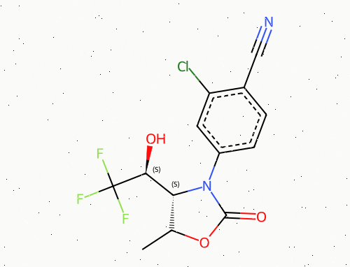 CC1OC(=O)N(c2ccc(C#N)c(Cl)c2)[C@H]1[C@H](O)C(F)(F)F